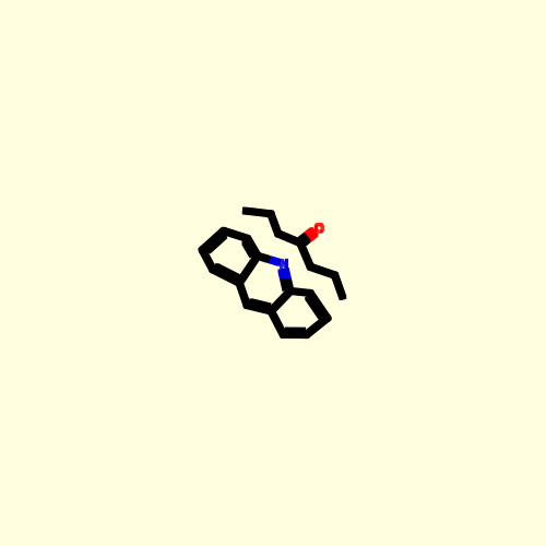 CCCC(=O)CCC.c1ccc2nc3ccccc3cc2c1